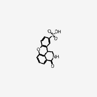 O=C1NCC2c3cc(S(=O)(=O)O)ccc3Oc3cccc1c32